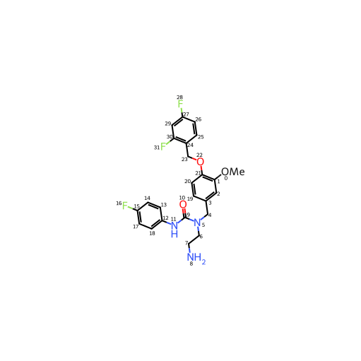 COc1cc(CN(CCN)C(=O)Nc2ccc(F)cc2)ccc1OCc1ccc(F)cc1F